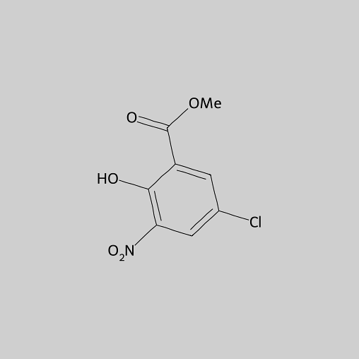 COC(=O)c1cc(Cl)cc([N+](=O)[O-])c1O